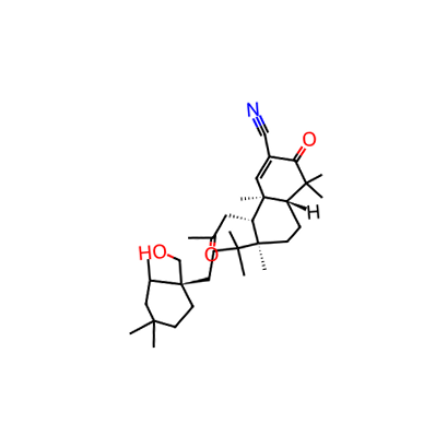 CC(=O)C[C@@H]1[C@@]2(C)C=C(C#N)C(=O)C(C)(C)[C@@H]2CC[C@@]1(C)C(C)(C)CC[C@@]1(CO)CCC(C)(C)CC1C